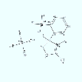 C[N+]1=C(Cl)OCC1(C)c1ccccc1[Si](C)(C)C.F[B-](F)(F)F